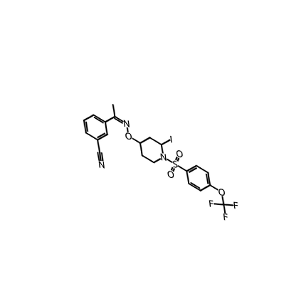 CC(=NOC1CCN(S(=O)(=O)c2ccc(OC(F)(F)F)cc2)C(I)C1)c1cccc(C#N)c1